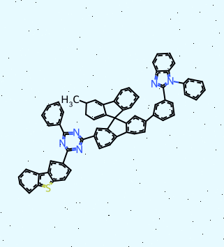 CC1C=C2C(=CC1)C1(c3ccccc32)c2cc(-c3cccc(-c4nc5ccccc5n4-c4ccccc4)c3)ccc2-c2ccc(-c3nc(-c4ccccc4)nc(-c4ccc5sc6ccccc6c5c4)n3)cc21